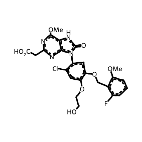 COc1cccc(F)c1COc1cc(-n2c(=O)[nH]c3c(OC)nc(CC(=O)O)nc32)c(Cl)cc1OCCO